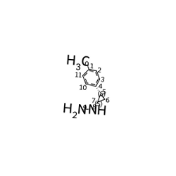 Cc1ccc([C@@H]2C[C@@H]2NN)cc1